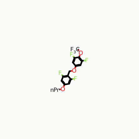 CCCOc1cc(F)c(COc2cc(F)c(OC(F)(F)F)c(F)c2)c(F)c1